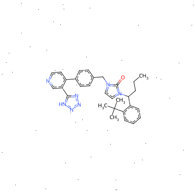 CCCC(c1ccccc1C(C)(C)C)n1ccn(Cc2ccc(-c3ccncc3-c3nnn[nH]3)cc2)c1=O